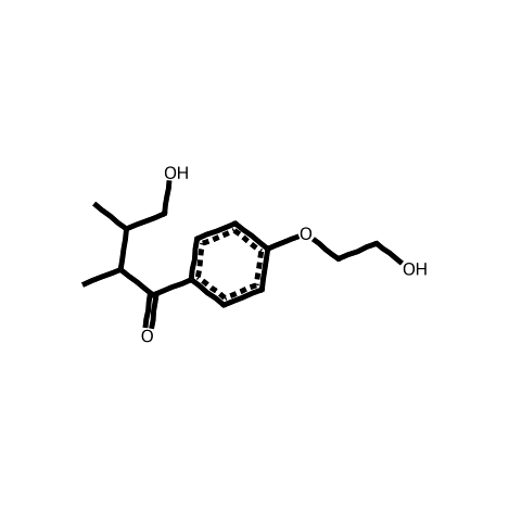 CC(CO)C(C)C(=O)c1ccc(OCCO)cc1